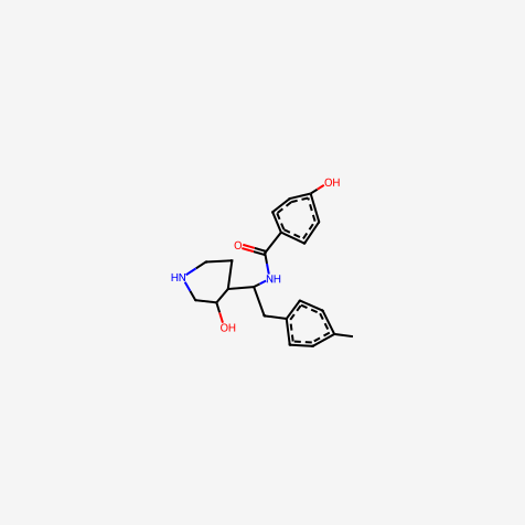 Cc1ccc(CC(NC(=O)c2ccc(O)cc2)C2CCNCC2O)cc1